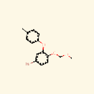 COCOc1ccc(Br)cc1Oc1ccc(C)cc1